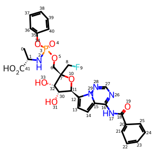 C[C@H](NP(=O)(OC[C@@]1(CF)O[C@@H](c2ccc3c(NC(=O)c4ccccc4)ncnn23)[C@H](O)[C@@H]1O)Oc1ccccc1)C(=O)O